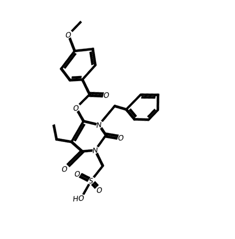 CCc1c(OC(=O)c2ccc(OC)cc2)n(Cc2ccccc2)c(=O)n(CS(=O)(=O)O)c1=O